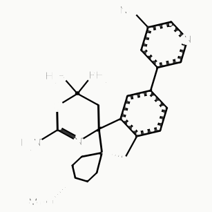 BC1(B)CC2(N=C(N)O1)c1cc(-c3cncc(C#N)c3)ccc1C[C@]21CC[C@@H](OC)CC1